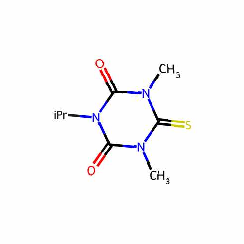 CC(C)n1c(=O)n(C)c(=S)n(C)c1=O